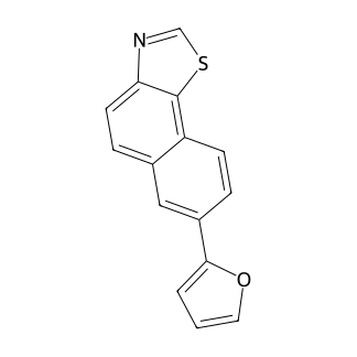 c1coc(-c2ccc3c(ccc4ncsc43)c2)c1